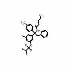 O=C(CCCC(F)(F)F)NC(Cc1ccccc1)(c1ccc(C(F)(F)F)cc1)c1cc(F)cc(OC(F)(F)C(F)F)c1